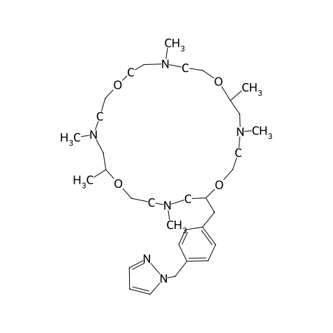 CC1CN(C)CCOCCN(C)CCOC(C)CN(C)CCOC(Cc2ccc(Cn3cccn3)cc2)CN(C)CCO1